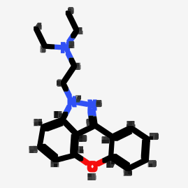 CCN(CC)CCn1nc2c3c(cccc31)Oc1ccccc1-2